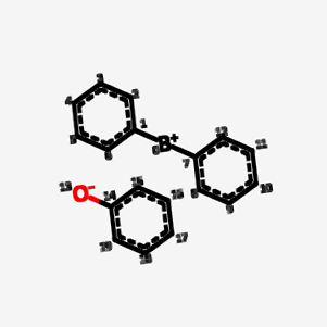 [B+](c1ccccc1)c1ccccc1.[O-]c1ccccc1